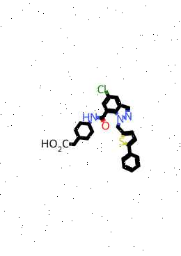 O=C(O)CC1CCC(NC(=O)c2cc(Cl)cc3cnn(Cc4ccc(-c5ccccc5)s4)c23)CC1